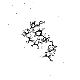 CC(NC(=O)CNC(=O)C(Cc1ccc(O)cc1)NC(=O)[C@H](C)NC(=O)C(C)NC(=O)[C@H](C)NC(=O)CNc1ncc(CO)s1)C(=O)N[C@@H](C)C(N)=O